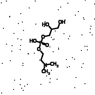 CN(C)CCOP(=O)(O)OCC(O)CO